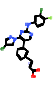 O=C(O)/C=C/c1cccc(-c2cnc(Nc3ccc(F)c(Cl)c3)nc2-n2cc(Cl)cn2)c1